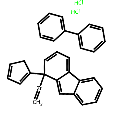 Cl.Cl.[CH2]=[Zr][C]1(C2=CC=CC2)C=CC=C2C1=Cc1ccccc12.c1ccc(-c2ccccc2)cc1